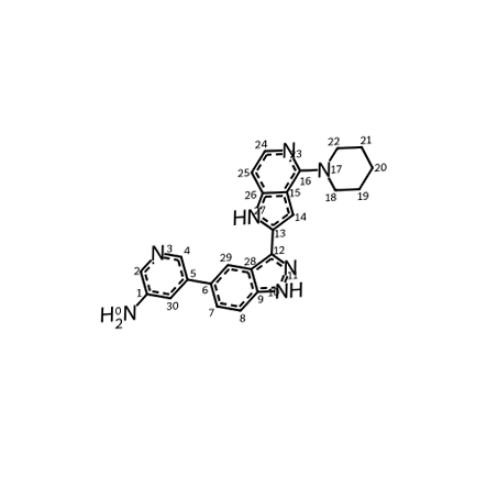 Nc1cncc(-c2ccc3[nH]nc(-c4cc5c(N6CCCCC6)nccc5[nH]4)c3c2)c1